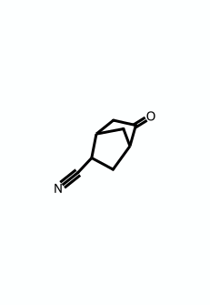 N#CC1CC2CC1CC2=O